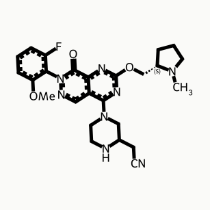 COc1cccc(F)c1-n1ncc2c(N3CCNC(CC#N)C3)nc(OC[C@@H]3CCCN3C)nc2c1=O